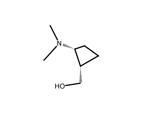 CN(C)[C@@H]1CC[C@@H]1CO